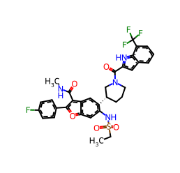 CCS(=O)(=O)Nc1cc2oc(-c3ccc(F)cc3)c(C(=O)NC)c2cc1[C@H]1CCCN(C(=O)c2cc3cccc(C(F)(F)F)c3[nH]2)C1